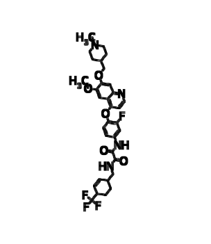 COc1cc2c(Oc3ccc(NC(=O)C(=O)NCC4C=CC(C(F)(F)F)CC4)cc3F)ccnc2cc1OCC1CCN(C)CC1